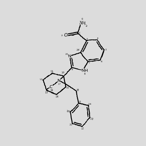 NC(=O)c1cccc2[nH]c(C34CCC(CC3)CN4Cc3ccccc3)nc12